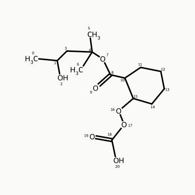 CC(O)CC(C)(C)OC(=O)C1CCCCC1OOC(=O)O